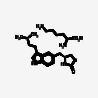 CN(C)CCc1c[nH]c2ccc(C[C@H]3COC(=O)N3)cc12.NCCCCC(N)C(=O)O